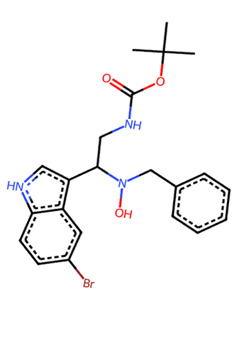 CC(C)(C)OC(=O)NCC(c1c[nH]c2ccc(Br)cc12)N(O)Cc1ccccc1